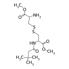 COC(=O)C(N)CSSCC(NC(=O)CC(C)(C)C)C(=O)OC